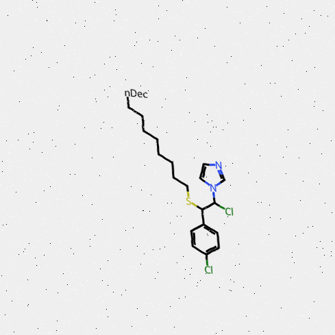 CCCCCCCCCCCCCCCCCCSC(c1ccc(Cl)cc1)C(Cl)n1ccnc1